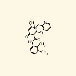 CCc1c(C(=O)Nc2cccc(C)c2C)c(=O)cc(C)n1Cc1ccccn1